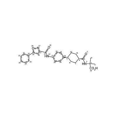 CC(C)(NC(=O)[C@H]1CC[C@@H](c2ccc(NC(=O)c3cc(-c4ccccc4)on3)cc2)CC1)C(=O)O